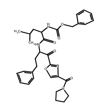 CC(C)CC(NC(=O)OCc1ccccc1)C(=O)NC(CCc1ccccc1)C(=O)c1nc(C(=O)N2CCCC2)co1